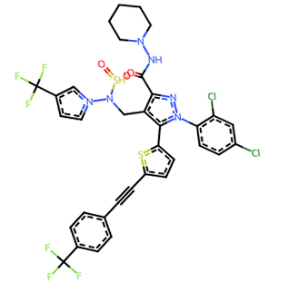 O=C(NN1CCCCC1)c1nn(-c2ccc(Cl)cc2Cl)c(-c2ccc(C#Cc3ccc(C(F)(F)F)cc3)s2)c1CN(n1ccc(C(F)(F)F)c1)[SH](=O)=O